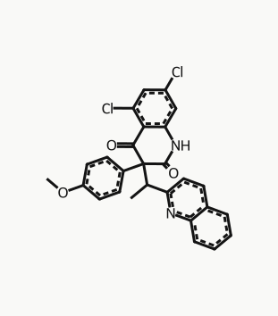 COc1ccc(C2(C(C)c3ccc4ccccc4n3)C(=O)Nc3cc(Cl)cc(Cl)c3C2=O)cc1